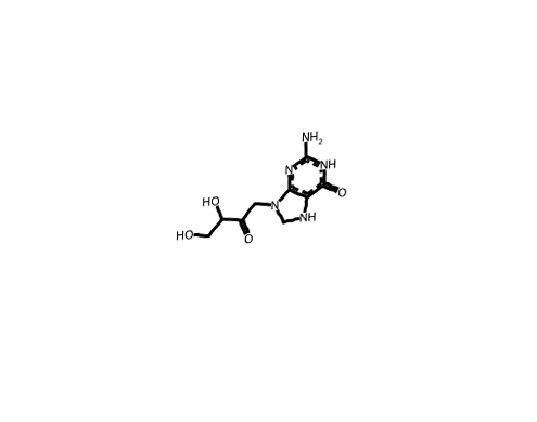 Nc1nc2c(c(=O)[nH]1)NCN2CC(=O)C(O)CO